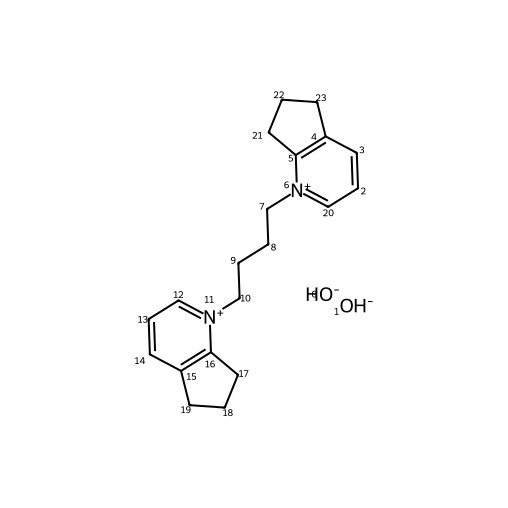 [OH-].[OH-].c1cc2c([n+](CCCC[n+]3cccc4c3CCC4)c1)CCC2